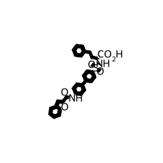 O=C(Nc1ccc(-c2ccc(S(=O)(=O)NC(CCc3ccccc3)C(=O)O)cc2)cc1)c1cc2ccccc2o1